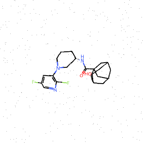 O=C(N[C@H]1CCCN(c2cc(F)cnc2F)C1)C12CC3CC(C1)C(O)C(C3)C2